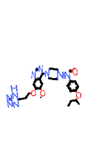 CCC(C)Oc1ccc(N(C=O)N2CCN(c3ncnc4cc(OCCc5nnn[nH]5)c(OC)cc34)CC2)cc1